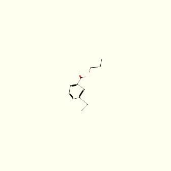 [CH2]Cc1cccc(C(=O)OCCC)c1